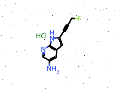 Cl.Nc1cnc2[nH]c(C#CCF)cc2c1